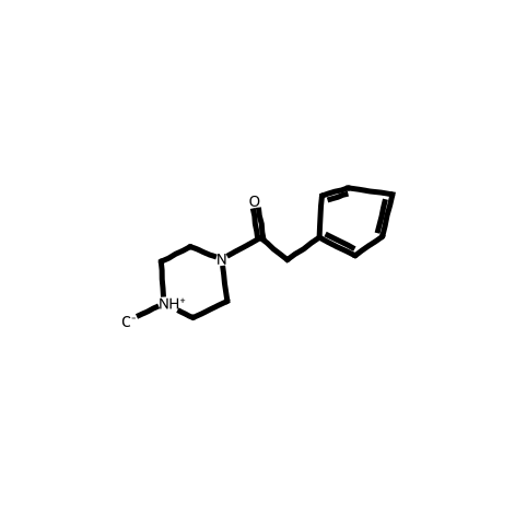 [CH2-][NH+]1CCN(C(=O)Cc2ccccc2)CC1